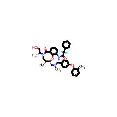 Cc1ccccc1Oc1ccc(CN(C)C[C@H]2Oc3c(NC(=O)C(F)(F)c4ccccc4)cccc3C(=O)N([C@@H](C)CO)C[C@H]2C)cc1